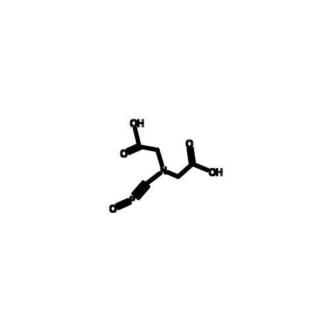 O=P#CN(CC(=O)O)CC(=O)O